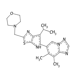 Cc1c(-c2[nH]c3sc(CN4CCOCC4)nc3c2C(C)C)cn2ncnc2c1C